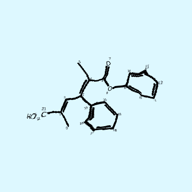 CC(=CC(=C(C)C(=O)Oc1ccccc1)c1ccccc1)C(=O)O